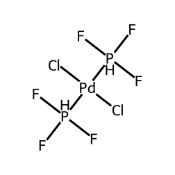 F[PH](F)(F)[Pd]([Cl])([Cl])[PH](F)(F)F